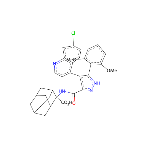 COc1cccc(OC)c1-c1[nH]nc(C(=O)NC2(C(=O)O)C3CC4CC(C3)CC2C4)c1-c1ccnc2cc(Cl)ccc12